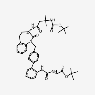 CC(C)(CC(=O)N[C@@H]1CCc2ccccc2N(Cc2ccc(-c3ccccc3NC(=O)NCC(=O)OC(C)(C)C)cc2)C1=O)NC(=O)OC(C)(C)C